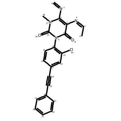 C=Nc1c(/N=C\C)c(=O)n(-c2ccc(C#Cc3ccccc3)cc2Cl)c(=O)n1C